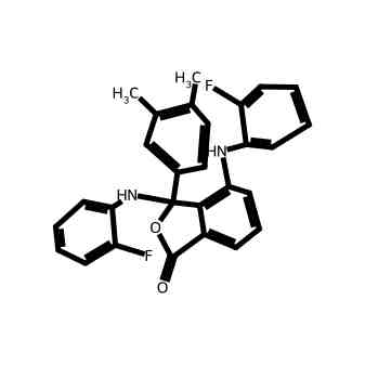 Cc1ccc(C2(Nc3ccccc3F)OC(=O)c3cccc(Nc4ccccc4F)c32)cc1C